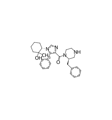 CC1(O)CCCC[C@@H]1n1cnc(C(=O)N2CCNC[C@H]2Cc2ccccc2)c1-c1ccccc1